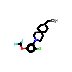 O=C(O)CC1CCC2(CC1)CCN(c1cc(OC(F)F)ccc1Cl)CC2